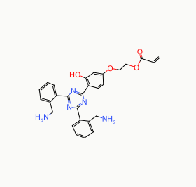 C=CC(=O)OCCOc1ccc(-c2nc(-c3ccccc3CN)nc(-c3ccccc3CN)n2)c(O)c1